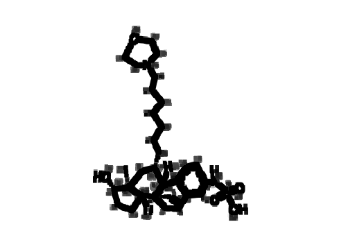 C=C[C@@]12CCc3cc(NS(=O)(=O)O)ccc3[C@H]1[C@@H](CCCCCCCN1CCOCC1)C[C@@]1(C)[C@H]2CC[C@@H]1O